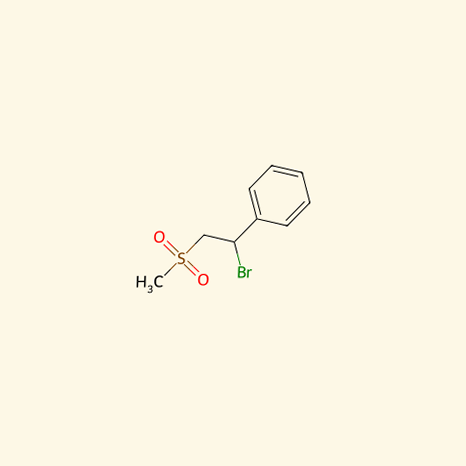 CS(=O)(=O)CC(Br)c1ccccc1